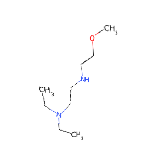 CCN(CC)CCNCCOC